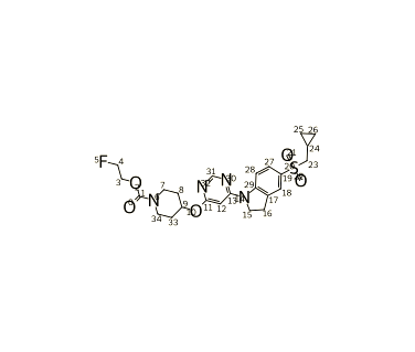 O=C(OCCF)N1CCC(Oc2cc(N3CCc4cc(S(=O)(=O)CC5CC5)ccc43)ncn2)CC1